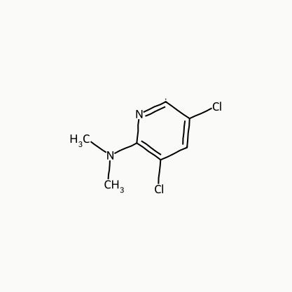 CN(C)c1n[c]c(Cl)cc1Cl